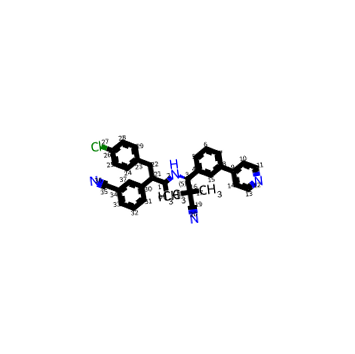 CC(N[C@@H](c1cccc(-c2ccncc2)c1)C(C)(C)C#N)C(Cc1ccc(Cl)cc1)c1cccc(C#N)c1